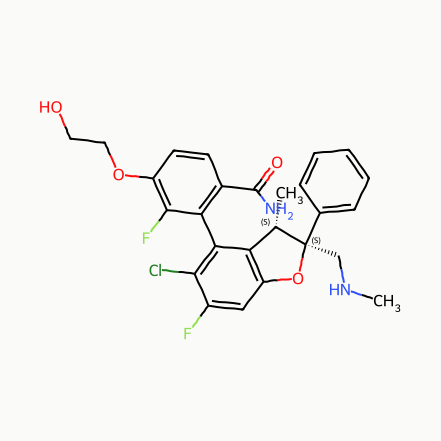 CNC[C@]1(c2ccccc2)Oc2cc(F)c(Cl)c(-c3c(C(N)=O)ccc(OCCO)c3F)c2[C@@H]1C